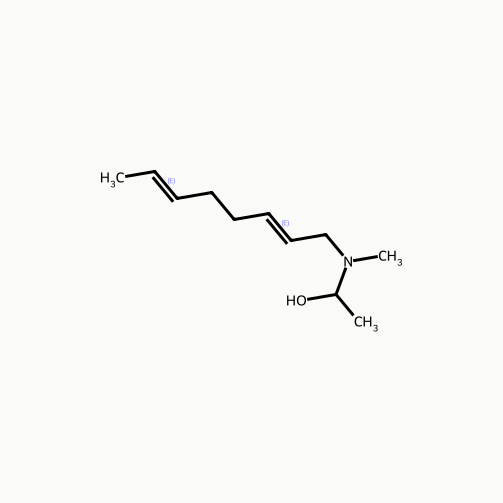 C/C=C/CC/C=C/CN(C)C(C)O